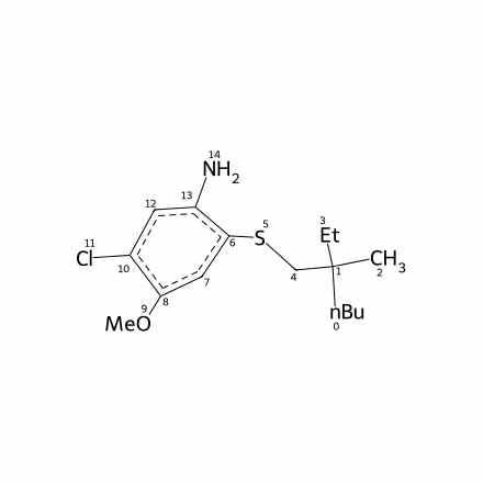 CCCCC(C)(CC)CSc1cc(OC)c(Cl)cc1N